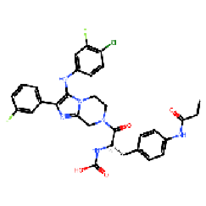 CCC(=O)Nc1ccc(C[C@H](NC(=O)O)C(=O)N2CCn3c(nc(-c4cccc(F)c4)c3Nc3ccc(Cl)c(F)c3)C2)cc1